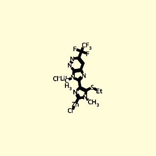 CCSc1c(-c2nc3cc(C(F)(F)C(F)(F)F)nnc3n2C)n[c]([Zn][Cl])n1C.[Cl-].[Li+]